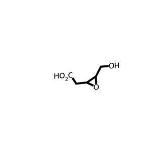 O=C(O)CC1OC1CO